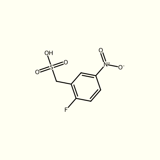 O=[N+]([O-])c1ccc(F)c(CS(=O)(=O)O)c1